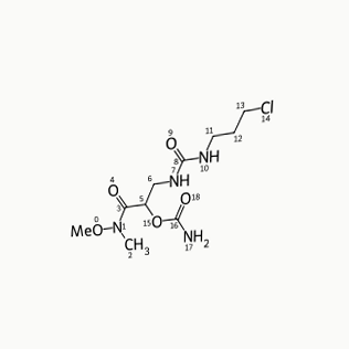 CON(C)C(=O)C(CNC(=O)NCCCCl)OC(N)=O